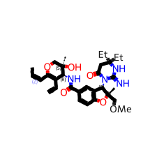 C=CC1=C(/C=C\C)OC[C@@](C)(O)[C@@H]1NC(=O)c1ccc2c(c1)[C@H](N1C(=N)NC(CC)(CC)CC1=O)[C@](C)(COC)O2